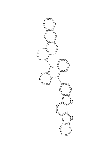 c1ccc2cc3c(ccc4c(-c5c6ccccc6c(-c6ccc7oc8c(ccc9c%10ccccc%10oc98)c7c6)c6ccccc56)cccc43)cc2c1